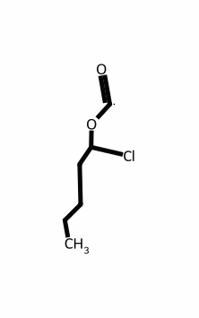 CCCCC(Cl)O[C]=O